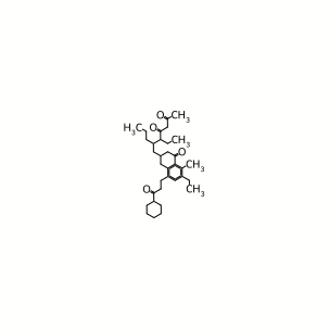 CCCC(CC1CC(=O)c2c(C)c(CC)cc(CCC(=O)C3CCCCC3)c2C1)C(CC)C(=O)CC(C)=O